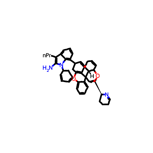 CCCc1c(N)n(C2C=CC=CC2)c2c(C3C=CC4=C(C3)Oc3ccccc3C43C4C=CC([C@@H]5CCCC=N5)CC4OC4C=CCC[C@H]43)cccc12